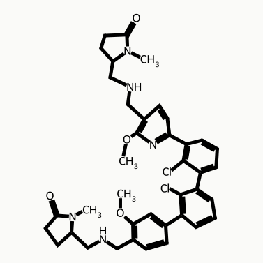 COc1cc(-c2cccc(-c3cccc(-c4ccc(CNCC5CCC(=O)N5C)c(OC)n4)c3Cl)c2Cl)ccc1CNCC1CCC(=O)N1C